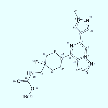 Cn1cc(-c2cn3nccc3c(N3CCC(F)(CNC(=O)OC(C)(C)C)CC3)n2)cn1